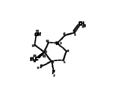 C=CCN1CCC(F)(F)[C@](C)(CO)C1